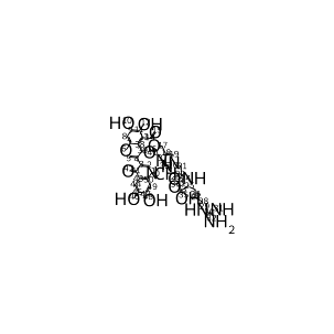 Cn1cc(-c2coc3cc(O)c(O)c(C(=O)OCc4cn(CC(=O)N[C@@H](CCCNC(=N)N)C(=O)O)nn4)c3c2=O)c(=O)c2cc(O)c(O)cc21